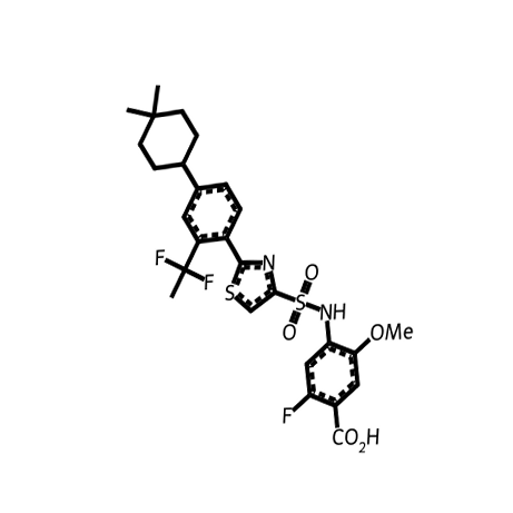 COc1cc(C(=O)O)c(F)cc1NS(=O)(=O)c1csc(-c2ccc(C3CCC(C)(C)CC3)cc2C(C)(F)F)n1